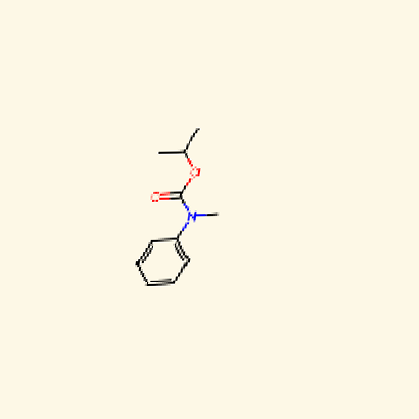 CC(C)OC(=O)N(C)c1cc[c]cc1